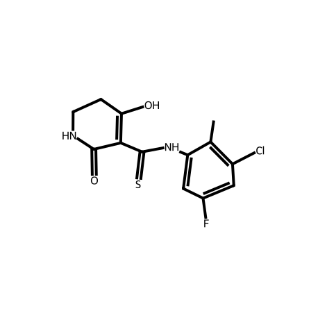 Cc1c(Cl)cc(F)cc1NC(=S)C1=C(O)CCNC1=O